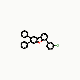 Clc1cccc(-c2cccc3c2oc2cc(-c4ccccc4)c(-c4ccccc4)cc23)c1